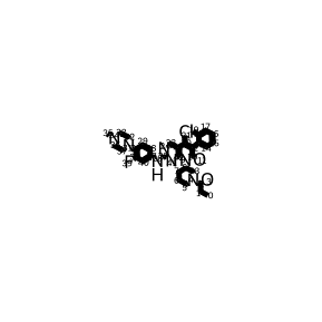 CCC(=O)N1CCCC(n2c(=O)c(-c3ccccc3Cl)c(C)c3cnc(Nc4ccc(N5CCN(C)CC5)c(F)c4)nc32)C1